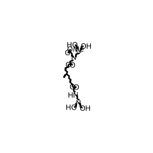 C=CC(C/C=C\COC(=O)CCN(CCCN(CCO)CCO)CCC(=O)OC)CC/C=C/COC(=O)CCNCCCN(CCO)CCO